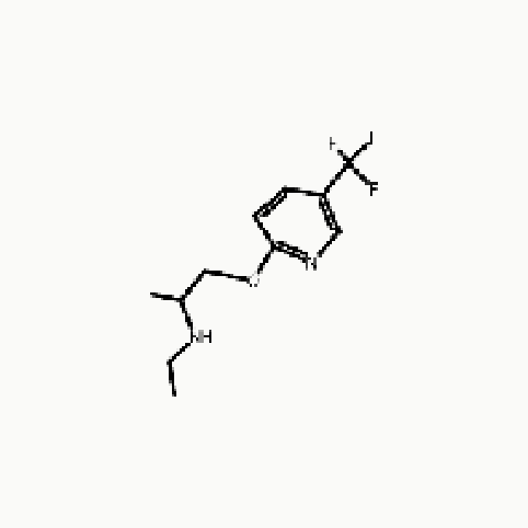 CCNC(C)COc1ccc(C(F)(F)F)cn1